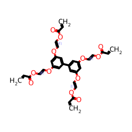 C=CC(=O)O/C=C/Oc1cc(O/C=C/OC(=O)C=C)cc(-c2cc(O/C=C/OC(=O)C=C)cc(O/C=C/OC(=O)C=C)c2)c1